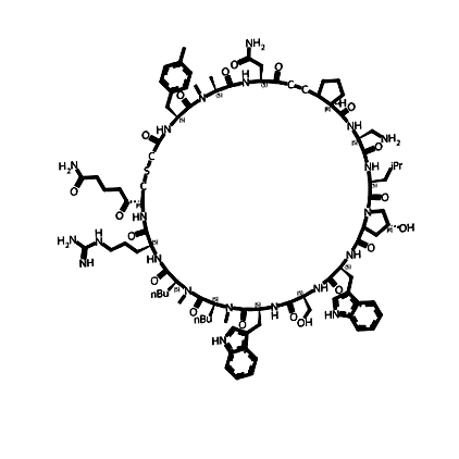 CCCC[C@H]1C(=O)N(C)[C@@H](CCCC)C(=O)N[C@@H](CCCNC(=N)N)C(=O)N[C@H](C(=O)CCCC(N)=O)CSCC(=O)N[C@@H](Cc2ccc(C)cc2)C(=O)N(C)[C@@H](C)C(=O)N[C@@H](CC(N)=O)C(=O)CCC2CCC[C@H]2C(=O)N[C@@H](CN)C(=O)N[C@@H](CC(C)C)C(=O)N2C[C@H](O)CC2C(=O)N[C@@H](Cc2c[nH]c3ccccc23)C(=O)N[C@@H](CO)C(=O)N[C@@H](Cc2c[nH]c3ccccc23)C(=O)N1C